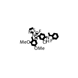 COc1ccc(CN(c2nccs2)S(=O)(=O)c2cc(Cl)c(NC(C)c3ccccc3F)cc2F)c(OC)c1